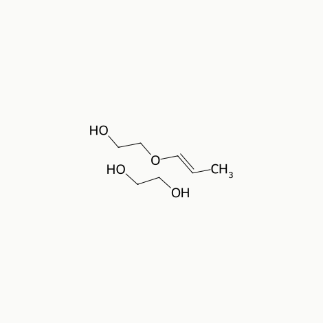 CC=COCCO.OCCO